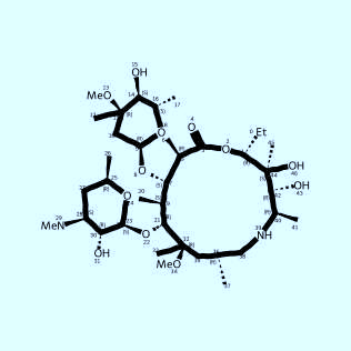 CC[C@H]1OC(=O)[C@H](C)[C@@H](O[C@H]2C[C@@](C)(OC)[C@@H](O)[C@H](C)O2)[C@H](C)[C@@H](O[C@@H]2O[C@H](C)C[C@H](NC)[C@H]2O)[C@](C)(OC)C[C@@H](C)CN[C@H](C)[C@@H](O)[C@]1(C)O